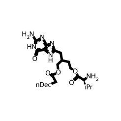 CCCCCCCCCCCC(=O)OCC(CCOC(=O)[C@@H](N)C(C)C)Cc1nc2nc(N)[nH]c(=O)c2[nH]1